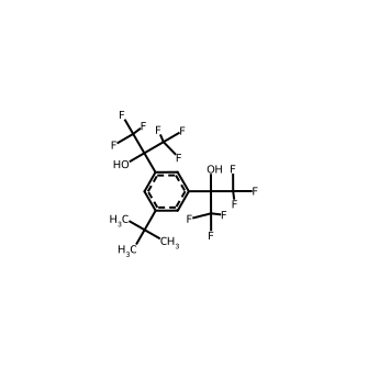 CC(C)(C)c1cc(C(O)(C(F)(F)F)C(F)(F)F)cc(C(O)(C(F)(F)F)C(F)(F)F)c1